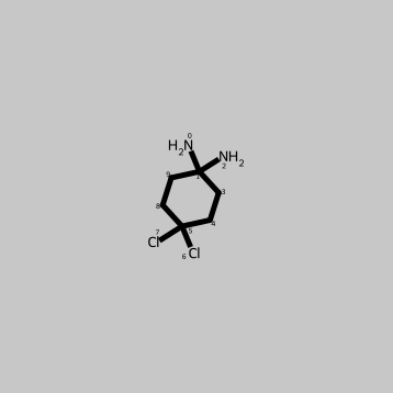 NC1(N)CCC(Cl)(Cl)CC1